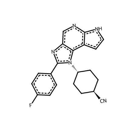 N#C[C@H]1CC[C@H](n2c(-c3ccc(F)cc3)nc3cnc4[nH]ccc4c32)CC1